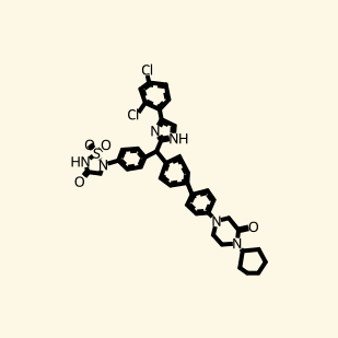 O=C1CN(c2ccc(C(c3ccc(-c4ccc(N5CCN(C6CCCCC6)C(=O)C5)cc4)cc3)c3nc(-c4ccc(Cl)cc4Cl)c[nH]3)cc2)S(=O)(=O)N1